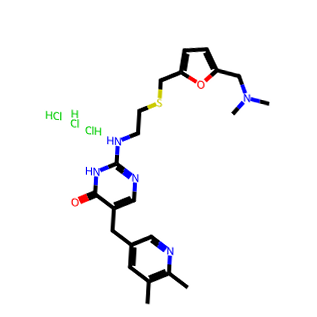 Cc1cc(Cc2cnc(NCCSCc3ccc(CN(C)C)o3)[nH]c2=O)cnc1C.Cl.Cl.Cl